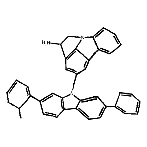 CC1CC=CC=C1c1ccc2c3ccc(-c4ccccc4)cc3n(-c3cc4c5c(c3)c3ccccc3n5CC4N)c2c1